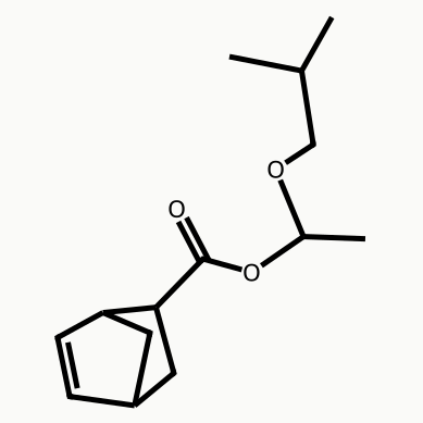 CC(C)COC(C)OC(=O)C1CC2C=CC1C2